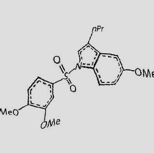 CCCc1cn(S(=O)(=O)c2ccc(OC)c(OC)c2)c2ccc(OC)cc12